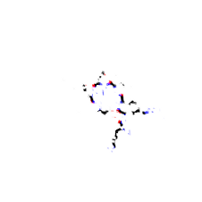 CC(C)C[C@H](NC(=O)[C@H](CCC(=O)O)NC(=O)[C@H](CCC(=O)O)NC(=O)[C@H](CC(C)C)NC(=O)[C@H](CCC(=O)O)NC(=O)[C@H](CCCCN)NC(=O)[C@@H](N)CCCCN)C(=O)O